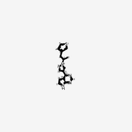 CC(Cc1ccsc1)n1cc(-c2ncnc3[nH]ccc23)cn1